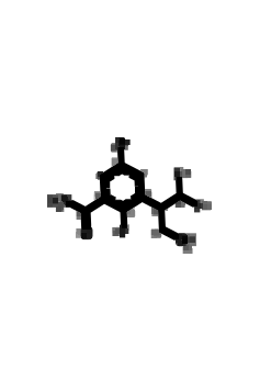 NC(=O)c1cc(Br)cc([C](CO)C(F)F)c1F